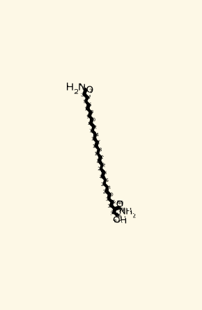 NC(=O)CCCCCCCCCCCCCCCCCCCCCCCCCCCCCCCC(CCO)C(N)=O